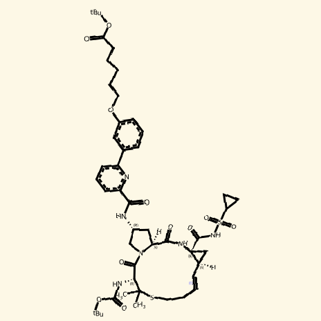 CC(C)(C)OC(=O)CCCCCOc1cccc(-c2cccc(C(=O)N[C@@H]3C[C@H]4C(=O)N[C@]5(C(=O)NS(=O)(=O)C6CC6)C[C@H]5/C=C/CCSC(C)(C)[C@H](NC(=O)OC(C)(C)C)C(=O)N4C3)n2)c1